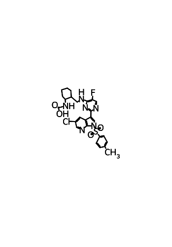 Cc1ccc(S(=O)(=O)n2cc(-c3ncc(F)c(NCC4CCCCC4NC(=O)O)n3)c3cc(Cl)cnc32)cc1